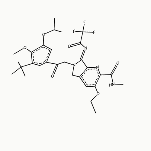 CCOc1cc2c(nc1C(=O)NC)/C(=N/C(=O)C(F)(F)F)N(CC(=O)c1cc(OC(C)C)c(OC)c(C(C)(C)C)c1)C2